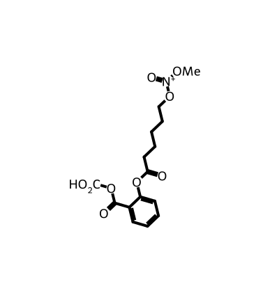 CO[N+](=O)OCCCCCC(=O)Oc1ccccc1C(=O)OC(=O)O